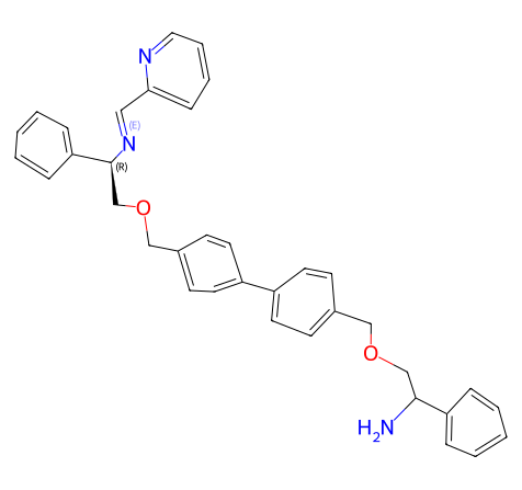 NC(COCc1ccc(-c2ccc(COC[C@H](/N=C/c3ccccn3)c3ccccc3)cc2)cc1)c1ccccc1